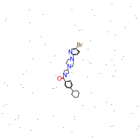 O=C(c1ccc(C2CCCCC2)cc1)N1CC(N2CCN(c3ccc(Br)cn3)CC2)C1